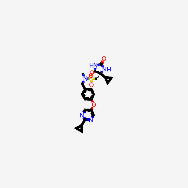 CN(Cc1ccc(Oc2cnc(C3CC3)nc2)cc1)S(=O)(=O)C[C@@]1(C2CC2)NC(=O)NC1=O